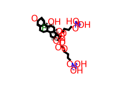 C[C@]12C=CC(=O)C=C1CCC1C3C[C@@H](O)[C@](OC(=O)CCCON(O)O)(C(=O)COC(=O)OCCCCON(O)O)[C@@]3(C)C[C@H](O)[C@@]12F